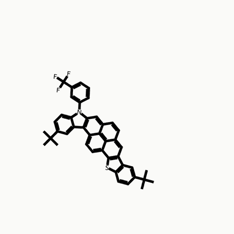 CC(C)(C)c1ccc2sc3c(cc4ccc5cc6c(c7ccc3c4c57)c3cc(C(C)(C)C)ccc3n6-c3cccc(C(F)(F)F)c3)c2c1